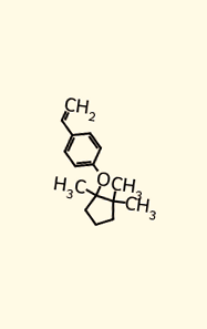 C=Cc1ccc(OC2(C)CCCC2(C)C)cc1